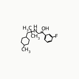 CC1CCC(CC(C)(C)NC[C@H](O)c2cccc(F)c2)CC1